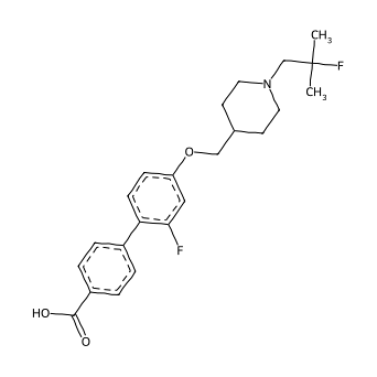 CC(C)(F)CN1CCC(COc2ccc(-c3ccc(C(=O)O)cc3)c(F)c2)CC1